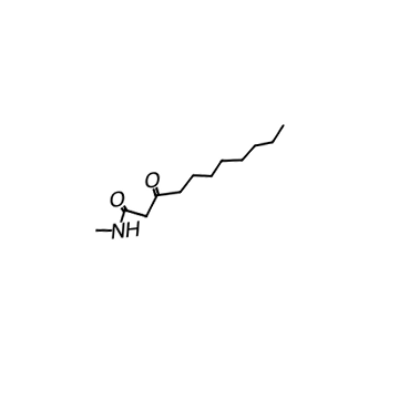 CCCCCCCCC(=O)CC(=O)NC